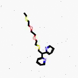 CCSCCOCCOCCSCC(c1ccccn1)c1ccccn1